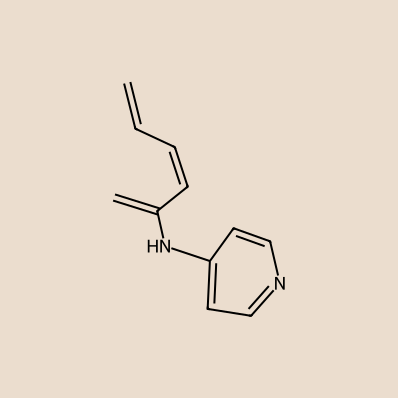 C=C/C=C\C(=C)Nc1ccncc1